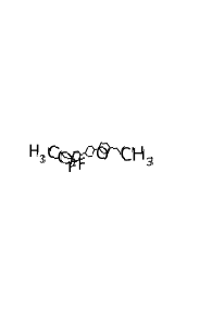 CCCC1=COC(C2CCC(c3ccc(OCC)c(F)c3F)CC2)CC1